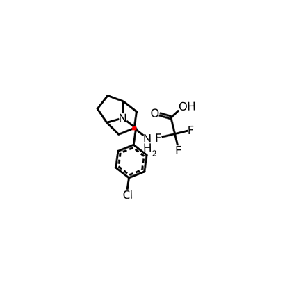 NC1CC2CCC(C1)N2Cc1ccc(Cl)cc1.O=C(O)C(F)(F)F